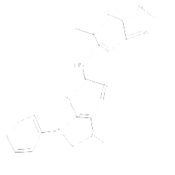 Cc1cc2nsnc2cc1Nc1ncc2c(n1)N(c1ccccc1)CN2C